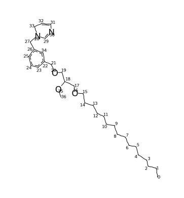 CCCCCCCCCCCCCCCCOCC(COCc1cccc(CN2C=NC=CC2)c1)OC